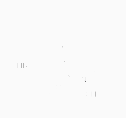 CN(C)C(=O)C(O)(c1ccccc1)c1c(-c2ccccc2)[nH]c2ccccc12